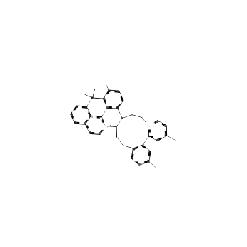 Cc1ccc2c(c1)-c1cc(C)cc[n+]1CCC1c3ccc(F)c4c3-c3c5c(cccc5cc[n+]3C1CC2)C4(C)C